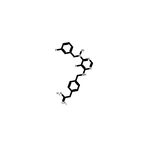 C=C(N)Cc1ccc(CNc2ncnc(N(Cc3cccc(F)c3)C(C)C)c2F)cc1